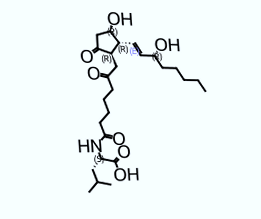 CCCCC[C@@H](O)/C=C/[C@H]1[C@H](O)CC(=O)[C@@H]1CC(=O)CCCCC(=O)N[C@@H](CC(C)C)C(=O)O